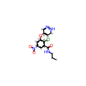 CCCNC(=O)c1cc([N+](=O)[O-])cc(OC2=CCNN=C2)c1Cl